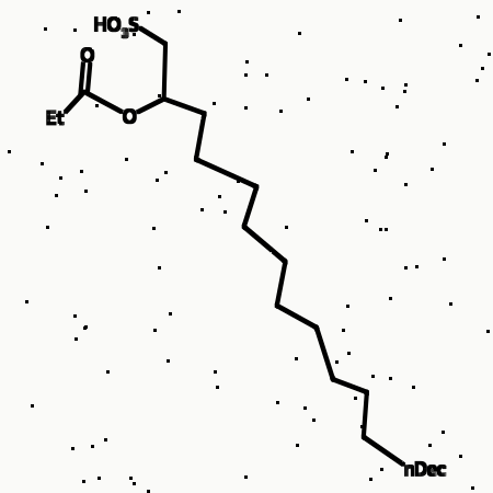 CCCCCCCCCCCCCCCCCCCCC(CS(=O)(=O)O)OC(=O)CC